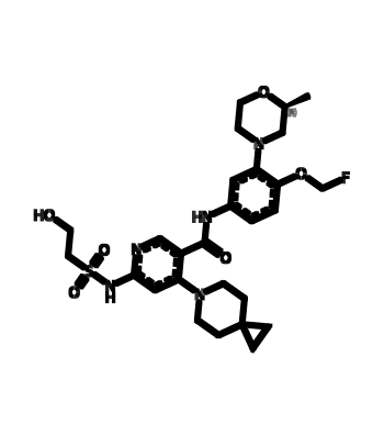 C[C@H]1CN(c2cc(NC(=O)c3cnc(NS(=O)(=O)CCO)cc3N3CCC4(CC3)CC4)ccc2OCF)CCO1